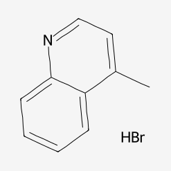 Br.Cc1ccnc2ccccc12